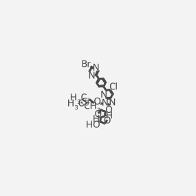 C[Si](C)(C)CCOCn1c(O[C@@H]2CO[C@H]3[C@@H]2OC[C@H]3O)nc2cc(Cl)c(-c3ccc(-c4cnc(Br)cn4)cc3)nc21